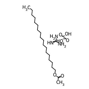 CCCCCCCCCCCCCCCCCCOC(C)=O.N=C(N)N.O=S(=O)(O)O